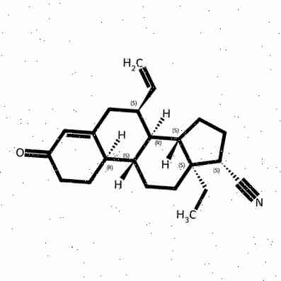 C=C[C@@H]1CC2=CC(=O)CC[C@@H]2[C@H]2CC[C@]3(CC)[C@@H](C#N)CC[C@H]3[C@@H]21